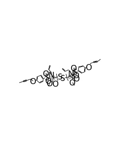 C=CCN([C@@H](C(=O)OC)C(C)(C)SSC(C)(C)[C@H](C(=O)OC)N(CC=C)S(=O)(=O)c1ccc(OCC#CC)cc1)S(=O)(=O)c1ccc(OCC#CC)cc1